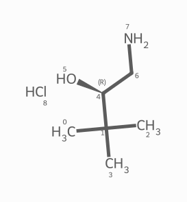 CC(C)(C)[C@@H](O)CN.Cl